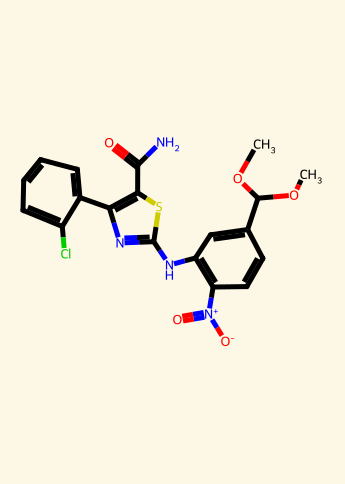 COC(OC)c1ccc([N+](=O)[O-])c(Nc2nc(-c3ccccc3Cl)c(C(N)=O)s2)c1